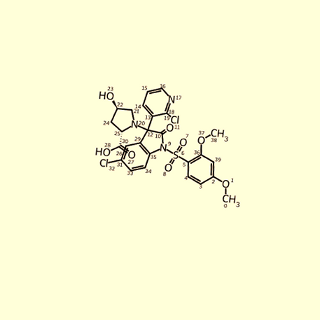 COc1ccc(S(=O)(=O)N2C(=O)C(c3cccnc3Cl)(N3C[C@H](O)C[C@H]3C(=O)O)c3cc(Cl)ccc32)c(OC)c1